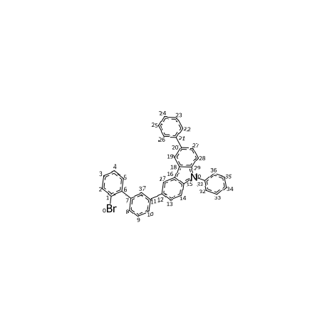 Brc1ccccc1-c1cccc(-c2ccc3c(c2)c2cc(-c4ccccc4)ccc2n3-c2ccccc2)c1